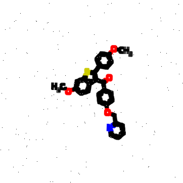 COc1ccc(-c2sc3cc(OC)ccc3c2C(=O)c2ccc(OCc3ccccn3)cc2)cc1